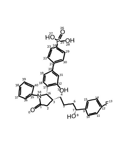 O=C1C[C@@H](CCC[C@@H](O)c2ccc(F)cc2)[C@@H](c2ccc(-c3ccc(P(=O)(O)O)cc3)cc2O)N1c1ccccc1